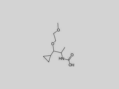 COCCOC(C1CC1)C(C)NC(=O)O